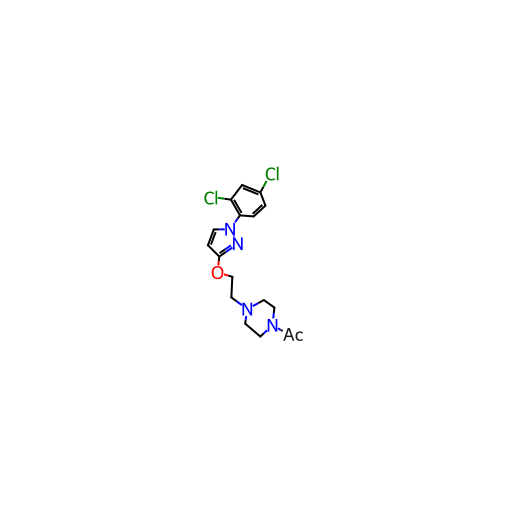 CC(=O)N1CCN(CCOc2ccn(-c3ccc(Cl)cc3Cl)n2)CC1